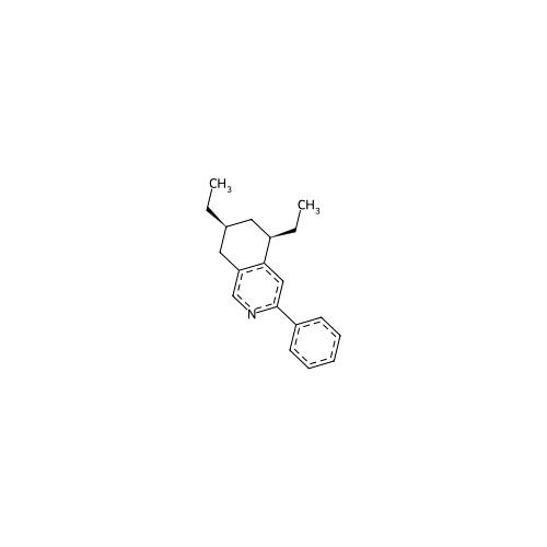 CC[C@@H]1Cc2cnc(-c3ccccc3)cc2[C@H](CC)C1